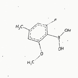 COc1cc(C)cc(F)c1B(O)O